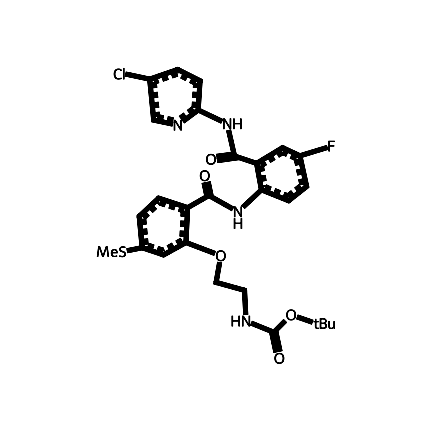 CSc1ccc(C(=O)Nc2ccc(F)cc2C(=O)Nc2ccc(Cl)cn2)c(OCCNC(=O)OC(C)(C)C)c1